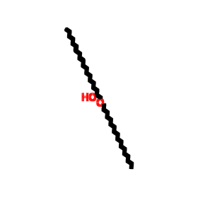 CCCCCC=CCC=CCCCCCCCCC(O)COCCCCCCCCCCCCCCCCCC